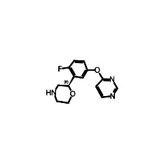 Fc1ccc(Oc2ccncn2)cc1[C@@H]1CNCCO1